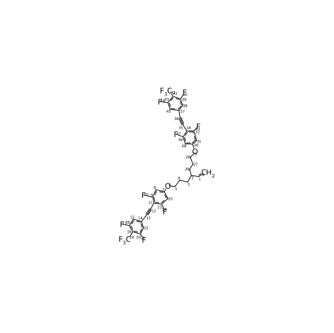 C=CC(CCCOc1cc(F)c(C#Cc2cc(F)c(C(F)(F)F)c(F)c2)c(F)c1)CCCOc1cc(F)c(C#Cc2cc(F)c(C(F)(F)F)c(F)c2)c(F)c1